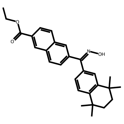 CCOC(=O)c1ccc2cc(C(=NO)c3ccc4c(c3)C(C)(C)CCC4(C)C)ccc2c1